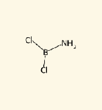 NB(Cl)Cl